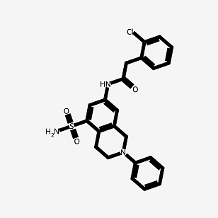 NS(=O)(=O)c1cc(NC(=O)Cc2ccccc2Cl)cc2c1CCN(c1ccccc1)C2